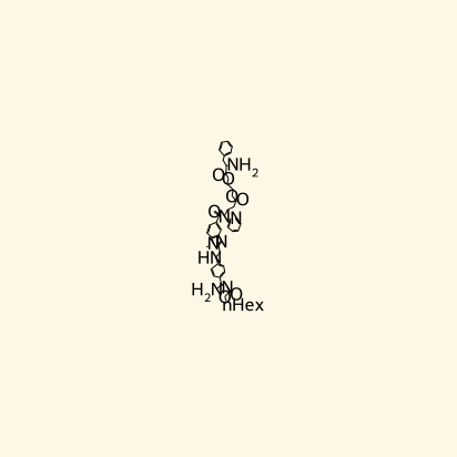 CCCCCCOC(=O)N=C(N)c1ccc(NCc2nc3cc(C(=O)N(CCC(=O)OCCOC(=O)C(N)Cc4ccccc4)c4ccccn4)ccc3n2C)cc1